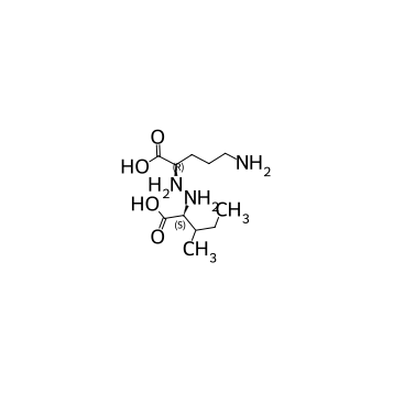 CCC(C)[C@H](N)C(=O)O.NCCC[C@@H](N)C(=O)O